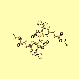 CCOC(=O)CCc1cc2c(c(C(C)(C)C)c1)OC(=O)C2=C1C(=O)Oc2c1cc(CCC(=O)OCC)cc2C(C)(C)C